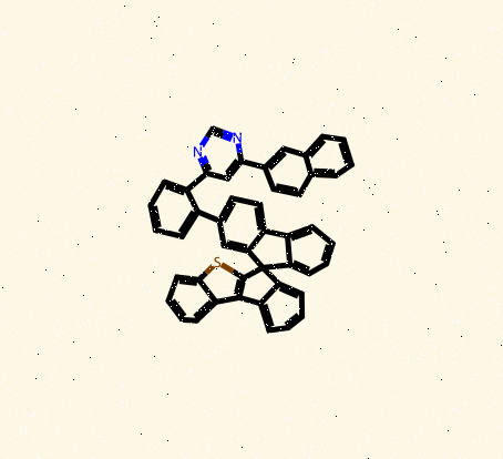 c1ccc(-c2cc(-c3ccc4ccccc4c3)ncn2)c(-c2ccc3c(c2)C2(c4ccccc4-3)c3ccccc3-c3c2sc2ccccc32)c1